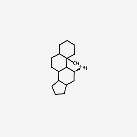 CC12CCCCC1CCC1C3CCCC3C[C@H](O)C12